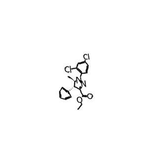 CCOC(=O)C1=NN(c2ccc(Cl)cc2Cl)[C@H](C)[C@H]1c1ccccc1